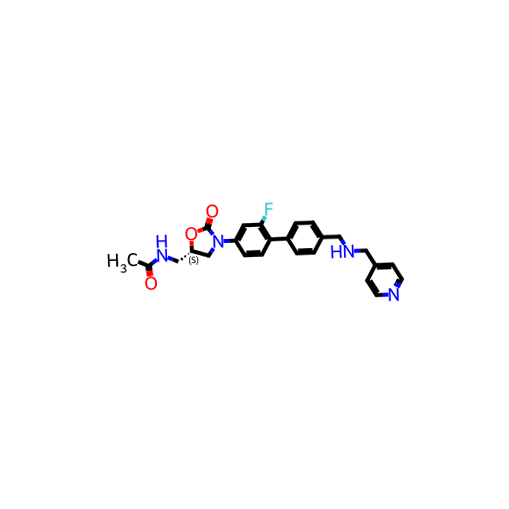 CC(=O)NC[C@H]1CN(c2ccc(-c3ccc(CNCc4ccncc4)cc3)c(F)c2)C(=O)O1